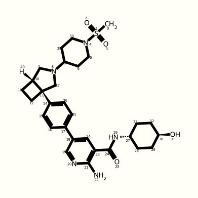 CS(=O)(=O)N1CCC(N2C[C@H]3CC[C@@]3(c3ccc(-c4cnc(N)c(C(=O)N[C@H]5CC[C@H](O)CC5)c4)cc3)C2)CC1